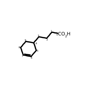 O=C(O)CCCC1CC=CCC1